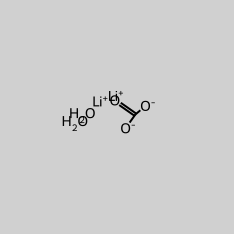 O.O.O=C([O-])[O-].[Li+].[Li+]